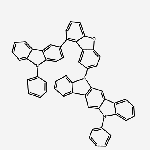 c1ccc(-n2c3ccccc3c3cc(-c4cccc5oc6ccc(-n7c8ccccc8c8cc9c(cc87)c7ccccc7n9-c7ccccc7)cc6c45)ccc32)cc1